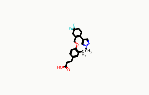 Cc1cc(CCC(=O)O)ccc1OCC1=C(c2cnn(C)c2)CCC(F)(F)C1